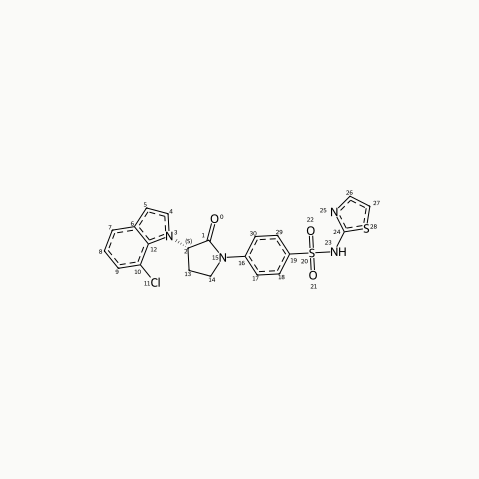 O=C1[C@@H](n2ccc3cccc(Cl)c32)CCN1c1ccc(S(=O)(=O)Nc2nccs2)cc1